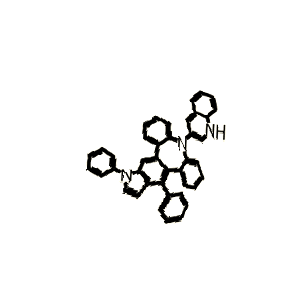 C1=CC2=CC(N3c4ccccc4-c4cc5c(ccn5-c5ccccc5)c(-c5ccccc5)c4-c4ccccc43)=CNC2C=C1